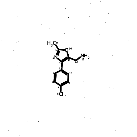 Cc1nc(-c2ccc(Cl)cc2)c(CN)o1